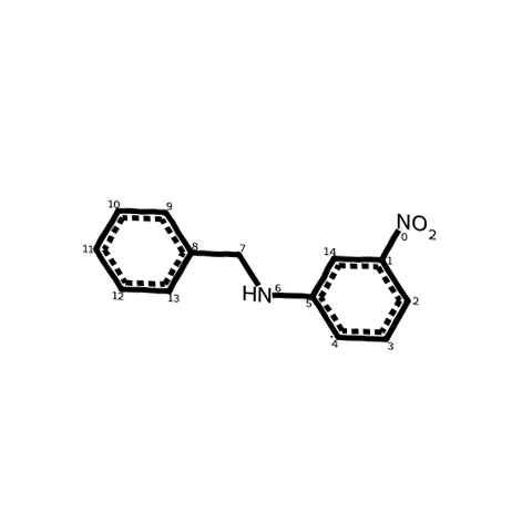 O=[N+]([O-])c1cc[c]c(NCc2ccccc2)c1